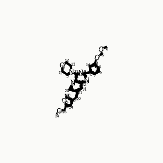 COCOc1cccc(-c2nc(N3CCOCC3)c3ncc(Cc4cc(COC)on4)cc3n2)c1